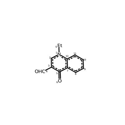 CCn1cc(C=O)c(=O)c2ccccc21